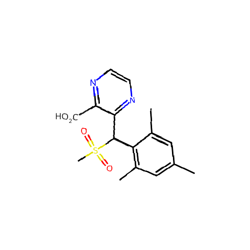 Cc1cc(C)c(C(c2nccnc2C(=O)O)S(C)(=O)=O)c(C)c1